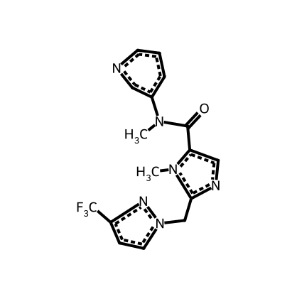 CN(C(=O)c1cnc(Cn2ccc(C(F)(F)F)n2)n1C)c1cccnc1